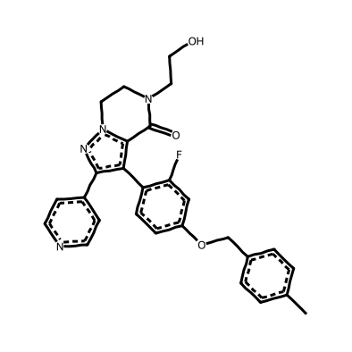 Cc1ccc(COc2ccc(-c3c(-c4ccncc4)nn4c3C(=O)N(CCO)CC4)c(F)c2)cc1